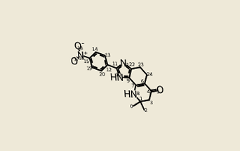 CC1(C)CC(=O)C2=C(N1)c1[nH]c(-c3ccc([N+](=O)[O-])cc3)nc1CC2